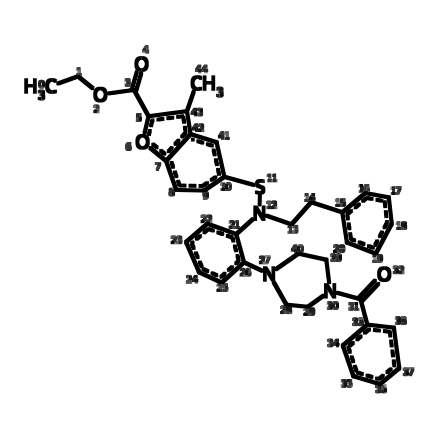 CCOC(=O)c1oc2ccc(SN(CCc3ccccc3)c3ccccc3N3CCN(C(=O)c4ccccc4)CC3)cc2c1C